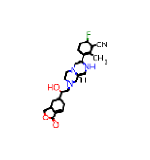 CC1=C([C@@H]2CN3CCN(C[C@H](O)C4CC=C5C(=O)OCC5C4)C[C@@H]3CN2)CCC(F)C1C#N